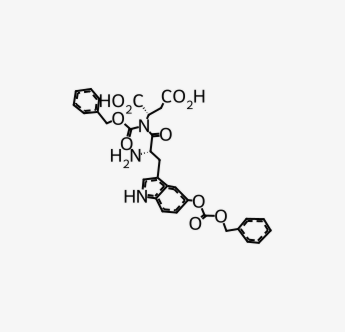 N[C@@H](Cc1c[nH]c2ccc(OC(=O)OCc3ccccc3)cc12)C(=O)N(C(=O)OCc1ccccc1)[C@@H](CC(=O)O)C(=O)O